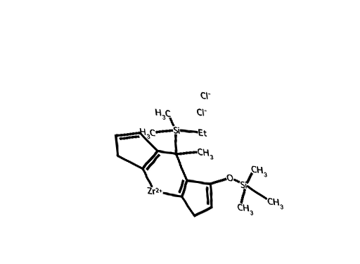 CC[Si](C)(C)C1(C)C2=[C](CC=C2)[Zr+2][C]2=C1C(O[Si](C)(C)C)=CC2.[Cl-].[Cl-]